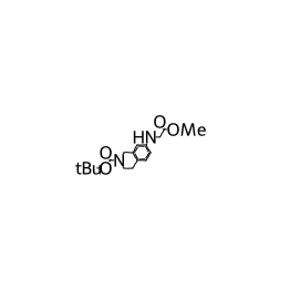 COC(=O)CNc1ccc2c(c1)CN(C(=O)OC(C)(C)C)CC2